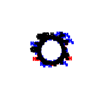 CCCC[C@H]1C(=O)N(C)[C@@H](CCCC)C(=O)N[C@@H](CCCNC(=N)N)C(=O)N[C@H](C(=O)NCC(N)=O)CSCC(=O)N[C@@H](Cc2ccc(O)cc2)C(=O)N(C)[C@@H](C)C(=O)N[C@@H](CC(N)=O)C(=O)N2CCCC2C(=O)N[C@@H](CN)C(=O)N[C@@H](CC(C)C)C(=O)N2C[C@H](O)C[C@H]2C(=O)N[C@@H](Cc2c[nH]c3ccccc23)C(=O)N[C@@H](CCN)C(=O)N[C@@H](Cc2cn(CC(=O)O)c3ccccc23)C(=O)N1C